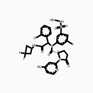 CCCCNS(=O)(=O)c1cc(F)cc(N(C(=O)[C@@H]2CCC(=O)N2c2cc(C#N)ccn2)C(C(=O)NC2CC(F)(F)C2)c2ccccc2Cl)c1